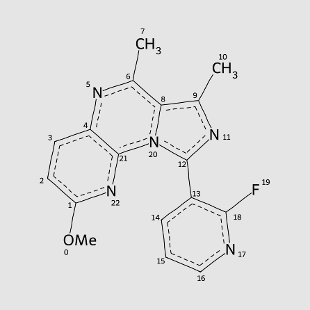 COc1ccc2nc(C)c3c(C)nc(-c4cccnc4F)n3c2n1